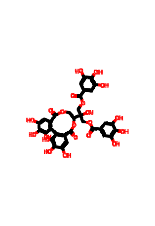 O=C(OCC(O)(COC(=O)c1cc(O)c(O)c(O)c1)C1COC(=O)c2cc(O)c(O)c(O)c2-c2c(cc(O)c(O)c2O)C(=O)O1)c1cc(O)c(O)c(O)c1